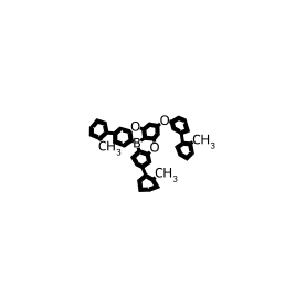 Cc1ccccc1-c1cccc(Oc2cc3c4c(c2)Oc2cc(-c5ccccc5C)ccc2B4c2ccc(-c4ccccc4C)cc2O3)c1